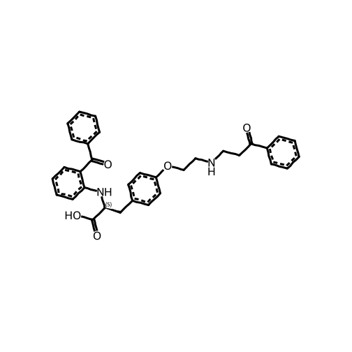 O=C(CCNCCOc1ccc(C[C@H](Nc2ccccc2C(=O)c2ccccc2)C(=O)O)cc1)c1ccccc1